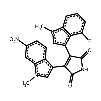 Cn1cc(C2=C(c3cn(C)c4cccc(F)c34)C(=O)NC2=O)c2ccc([N+](=O)[O-])cc21